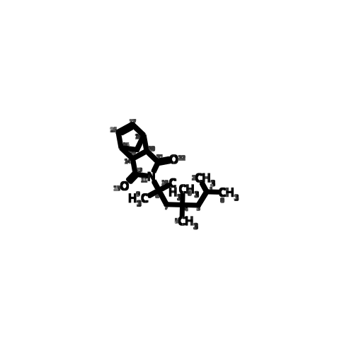 CC(C)CC(C)(C)CC(C)(C)N1C(=O)C2C3C=CC(C3)C2C1=O